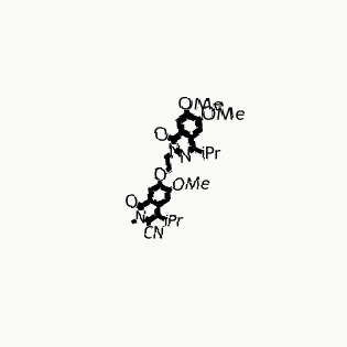 COc1cc2c(C(C)C)nn(CCOc3cc4c(=O)n(C)c(C#N)c(C(C)C)c4cc3OC)c(=O)c2cc1OC